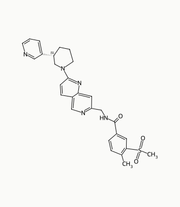 Cc1ccc(C(=O)NCc2cc3nc(N4CCC[C@@H](c5cccnc5)C4)ccc3cn2)cc1S(C)(=O)=O